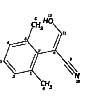 Cc1cccc(C)c1/C(C#N)=C\O